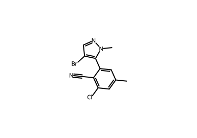 Cc1cc(Cl)c(C#N)c(-c2c(Br)cnn2C)c1